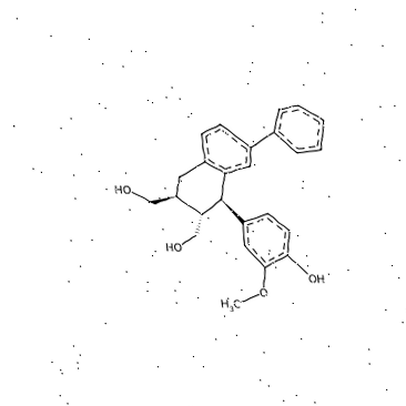 COc1cc([C@@H]2c3cc(-c4ccccc4)ccc3C[C@H](CO)[C@H]2CO)ccc1O